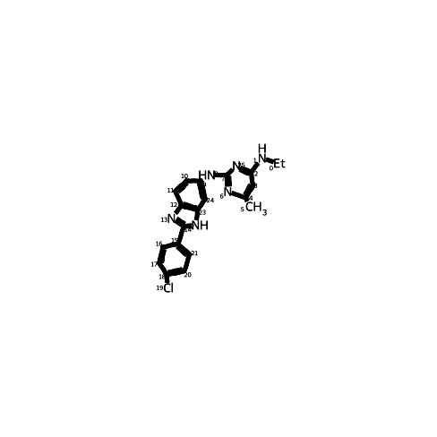 CCNc1cc(C)nc(Nc2ccc3nc(-c4ccc(Cl)cc4)[nH]c3c2)n1